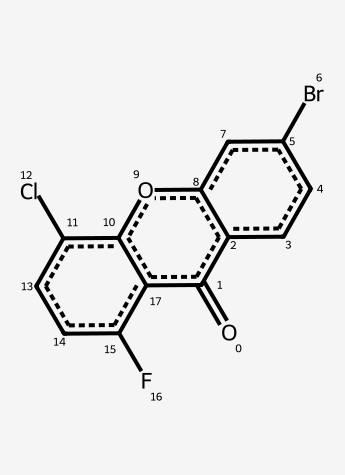 O=c1c2ccc(Br)cc2oc2c(Cl)ccc(F)c12